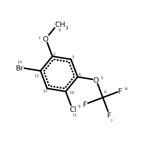 COc1cc(OC(F)(F)F)c(Cl)cc1Br